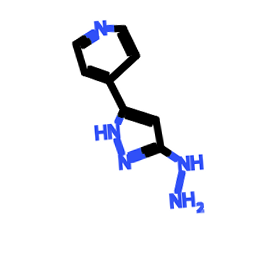 NNc1cc(-c2ccncc2)[nH]n1